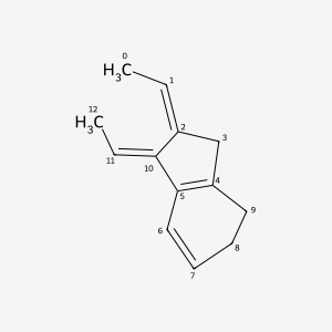 C/C=C1/CC2=C(C=CCC2)/C1=C/C